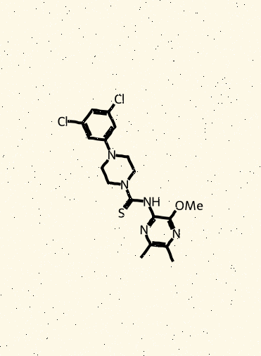 COc1nc(C)c(C)nc1NC(=S)N1CCN(c2cc(Cl)cc(Cl)c2)CC1